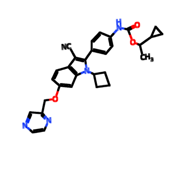 CC(OC(=O)Nc1ccc(-c2c(C#N)c3ccc(OCc4cnccn4)cc3n2C2CCC2)cc1)C1CC1